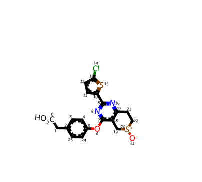 O=C(O)Cc1ccc(Oc2nc(-c3ccc(Cl)s3)nc3c2C[S+]([O-])CC3)cc1